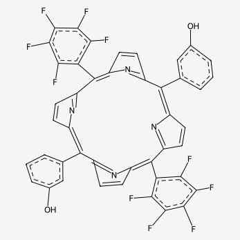 Oc1cccc(C2=C3C=CC(=N3)C(c3c(F)c(F)c(F)c(F)c3F)=C3C=CC(=N3)C(c3cccc(O)c3)=C3C=CC(=N3)C(c3c(F)c(F)c(F)c(F)c3F)=C3C=CC2=N3)c1